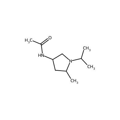 CC(=O)NC1CC(C)N(C(C)C)C1